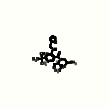 CC(C)CN(C(=O)c1cnc(C(C)(C)C)nc1NCc1ccco1)[C@H](C=O)CN